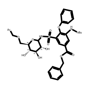 CCCCNc1cc(C(=O)OCc2ccccc2)cc(S(=O)(=O)NC2O[C@H](COCC(C)=O)[C@@H](O)[C@H](O)[C@H]2O)c1Oc1ccccc1